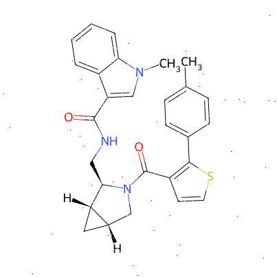 Cc1ccc(-c2sccc2C(=O)N2C[C@@H]3C[C@@H]3[C@H]2CNC(=O)c2cn(C)c3ccccc23)cc1